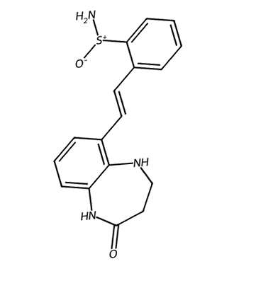 N[S+]([O-])c1ccccc1/C=C/c1cccc2c1NCCC(=O)N2